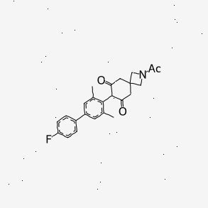 CC(=O)N1CC2(CC(=O)C(c3c(C)cc(-c4ccc(F)cc4)cc3C)C(=O)C2)C1